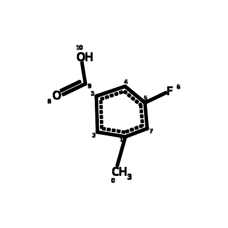 Cc1cccc(F)c1.O=CO